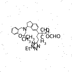 CCn1nnc(CCC(c2ccc3c(c2)C(N2Cc4ccccc4OC(C)(C)C2)CC3)C(C)(C)C(=O)OC=O)n1